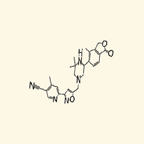 Cc1cc(-c2cc(CN3CC(c4ccc5c(c4C)COC5=O)NC(C)(C)C3)on2)ncc1C#N